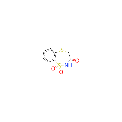 O=C1CSc2ccccc2S(=O)(=O)N1